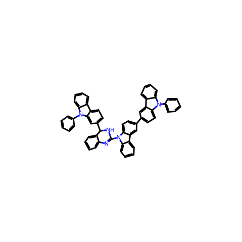 c1ccc(-n2c3ccccc3c3cc(-c4ccc5c(c4)c4ccccc4n5C4=Nc5ccccc5C(c5ccc6c7ccccc7n(-c7ccccc7)c6c5)N4)ccc32)cc1